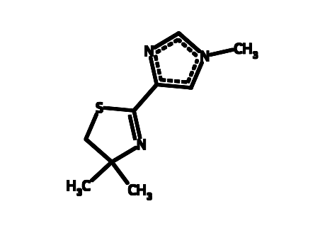 Cn1cnc(C2=NC(C)(C)CS2)c1